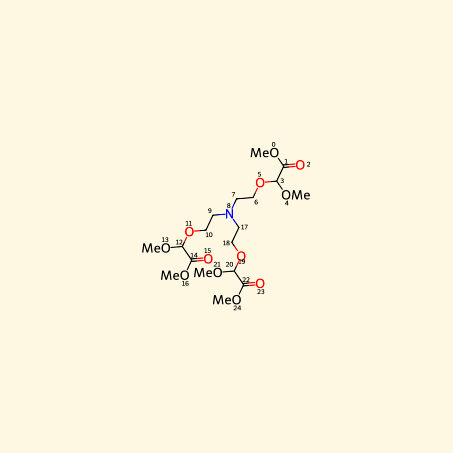 COC(=O)C(OC)OCCN(CCOC(OC)C(=O)OC)CCOC(OC)C(=O)OC